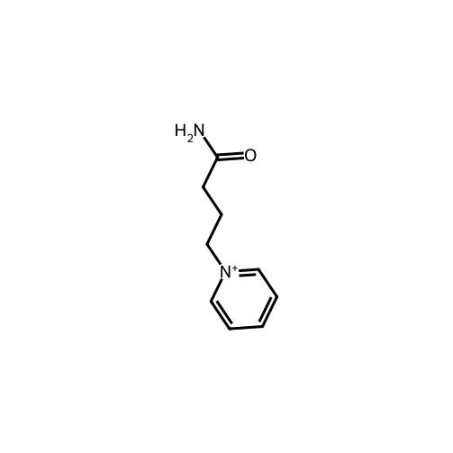 NC(=O)CCC[n+]1ccccc1